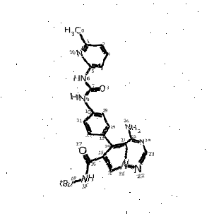 Cc1cccc(NC(=O)Nc2ccc(-c3c(C(=O)NC(C)(C)C)cn4ncnc(N)c34)cc2)n1